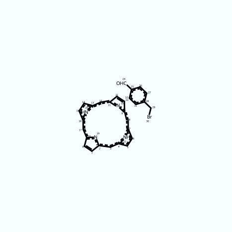 C1=Cc2cc3ccc(cc4nc(cc5ccc(cc1n2)[nH]5)C=C4)[nH]3.O=Cc1ccc(CBr)cc1